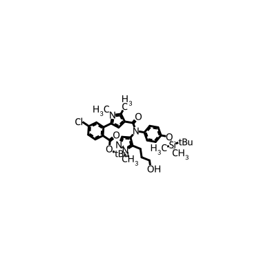 Cc1c(C(=O)N(c2ccc(O[Si](C)(C)C(C)(C)C)cc2)c2cnn(C)c2CCCO)cc(-c2cc(Cl)ccc2C(=O)OC(C)(C)C)n1C